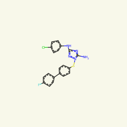 Nc1nc(Nc2ccc(Cl)cc2)nn1Sc1ccc(-c2ccc(F)cc2)cc1